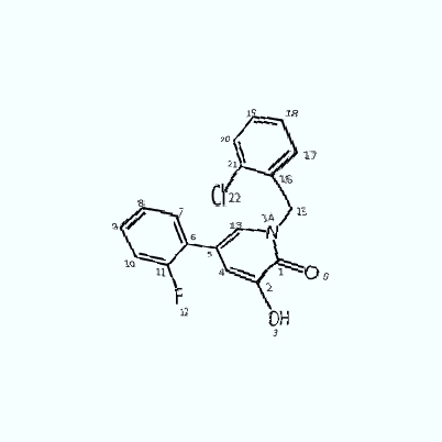 O=c1c(O)cc(-c2ccccc2F)cn1Cc1ccccc1Cl